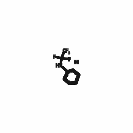 FC(F)(F)C(F)(F)Nc1ccccc1.I